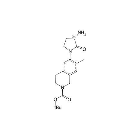 Cc1cc2c(cc1N1CC[C@H](N)C1=O)CCN(C(=O)OC(C)(C)C)C2